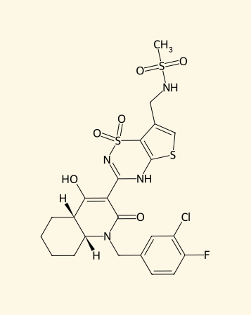 CS(=O)(=O)NCc1csc2c1S(=O)(=O)N=C(C1=C(O)[C@H]3CCCC[C@H]3N(Cc3ccc(F)c(Cl)c3)C1=O)N2